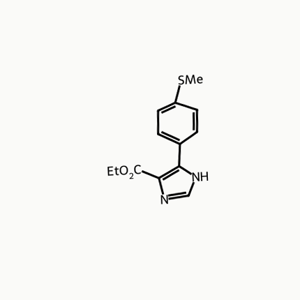 CCOC(=O)c1nc[nH]c1-c1ccc(SC)cc1